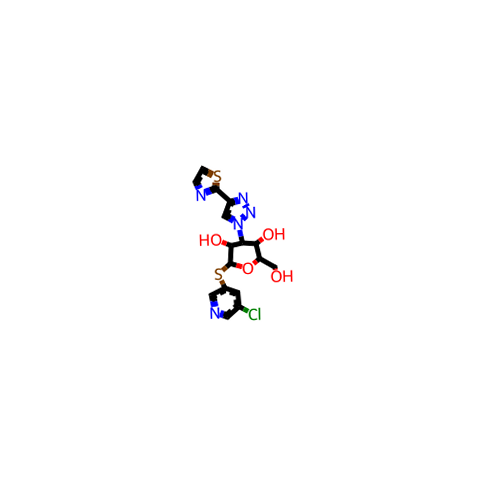 OCC1OC(Sc2cncc(Cl)c2)C(O)C(n2cc(-c3nccs3)nn2)C1O